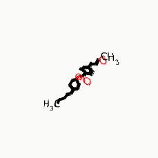 CCCCCC1CCC(OC(=O)c2ccc(CCCOC)cc2)CC1